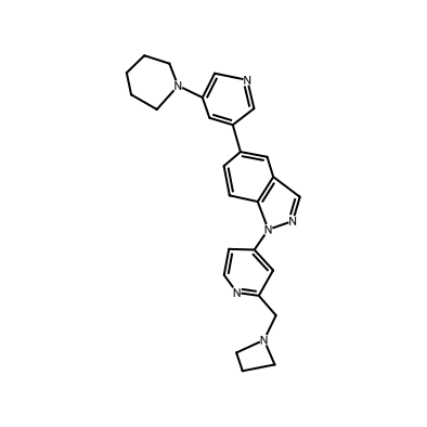 c1cc(-n2ncc3cc(-c4cncc(N5CCCCC5)c4)ccc32)cc(CN2CCC2)n1